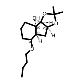 CCCCO[C@H]1CCC[C@]2(O)[C@H]1C[C@@H]1OC(C)(C)O[C@@H]12